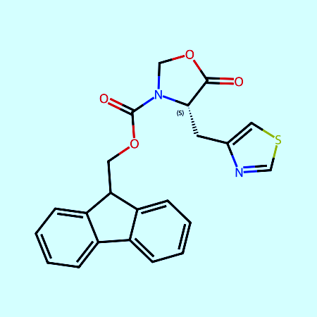 O=C1OCN(C(=O)OCC2c3ccccc3-c3ccccc32)[C@H]1Cc1cscn1